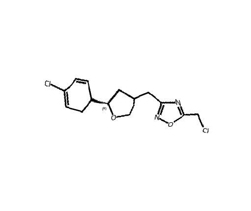 ClCc1nc(CC2CO[C@@H](C3C=CC(Cl)=CC3)C2)no1